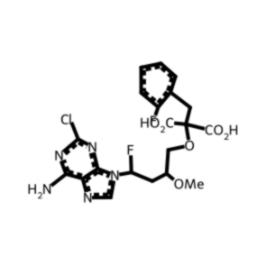 COC(COC(Cc1ccccc1F)(C(=O)O)C(=O)O)CC(F)n1cnc2c(N)nc(Cl)nc21